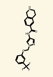 O=C(Nc1cnn(COc2cccc(C(F)(F)F)c2)c1)c1ccc2c(c1)CCNC2